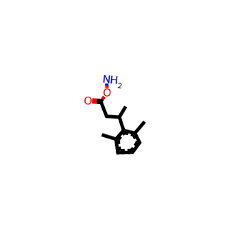 Cc1cccc(C)c1C(C)CC(=O)ON